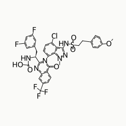 COc1ccc(CCS(=O)(=O)Nc2nn(C)c3c(-n4c([C@H](Cc5cc(F)cc(F)c5)NC(=O)O)nc5cc(C(F)(F)F)ccc5c4=O)ccc(Cl)c23)cc1